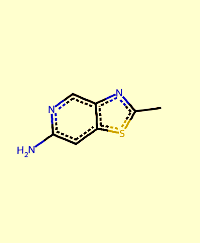 Cc1nc2cnc(N)cc2s1